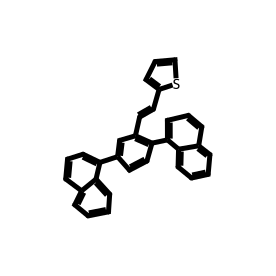 C(=C\c1cc(-c2cccc3ccccc23)ccc1-c1cccc2ccccc12)/c1cccs1